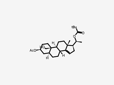 CC(=O)O[C@H]1CC[C@@]2(CO)[C@@H](CC[C@H]3C4=CC[C@H]([C@H](C)OC(=O)C(C)(C)C)[C@@]4(C)CC[C@@H]32)C1